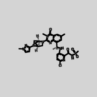 Cc1cc([C@@H](C)Nc2ccc(Cl)nc2C(=O)NS(C)(=O)=O)c2nc(N3C[C@@H]4C[C@H]3CN4c3ccn(C)n3)n(C)c(=O)c2c1